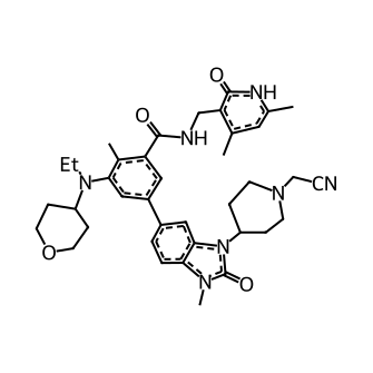 CCN(c1cc(-c2ccc3c(c2)n(C2CCN(CC#N)CC2)c(=O)n3C)cc(C(=O)NCc2c(C)cc(C)[nH]c2=O)c1C)C1CCOCC1